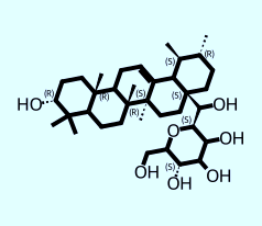 C[C@@H]1CC[C@]2(C(O)[C@@H]3OC(CO)[C@@H](O)C(O)C3O)CC[C@]3(C)C(=CCC4[C@@]5(C)CC[C@@H](O)C(C)(C)C5CC[C@]43C)C2[C@H]1C